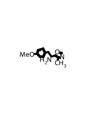 COc1ccc(CC(N)c2ocnc2C)cc1